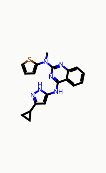 CN(c1nc(Nc2cc(C3CC3)n[nH]2)c2ccccc2n1)c1cccs1